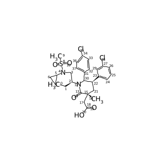 CC[C@@H](CN(C1CC1)S(C)(=O)=O)N1C(=O)[C@@](C)(CC(=O)O)C[C@H](c2cccc(Cl)c2)C1c1ccc(Cl)cc1